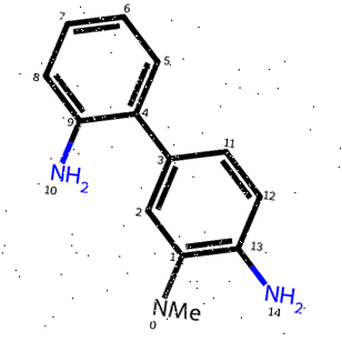 CNc1cc(-c2ccccc2N)ccc1N